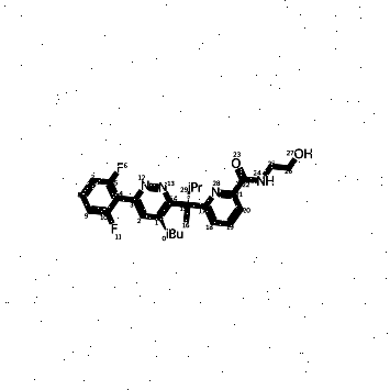 CC[C@H](C)c1cc(-c2c(F)cccc2F)nnc1[C@](C)(c1cccc(C(=O)NCCO)n1)C(C)C